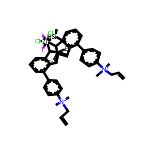 C=CC[N+](C)(C)c1ccc(-c2cccc3c2C=C(CC)[CH]3[Zr]([Cl])([Cl])([I])([I])([CH]2C(CC)=Cc3c(-c4ccc([N+](C)(C)CC=C)cc4)cccc32)[SiH](C)C)cc1